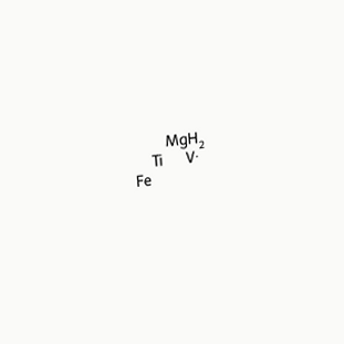 [Fe].[MgH2].[Ti].[V]